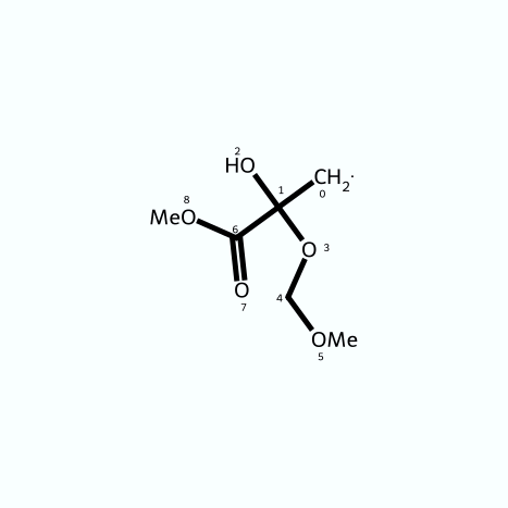 [CH2]C(O)(OCOC)C(=O)OC